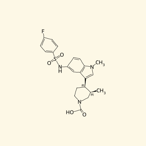 C[C@H]1CN(C(=O)O)CC[C@H]1c1cn(C)c2ccc(NS(=O)(=O)c3ccc(F)cc3)cc12